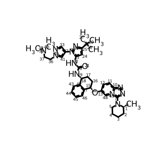 C[C@H]1CCCCN1c1nnc2ccc(O[C@@H]3CC[C@H](NC(=O)Nc4cc(C(C)(C)C)nn4-c4cnn(CCN(C)C)c4)c4ccccc43)cn12